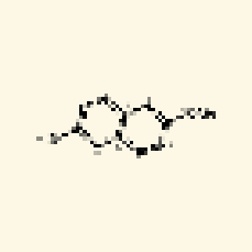 Bc1ccc2cc(OC)ncc2c1